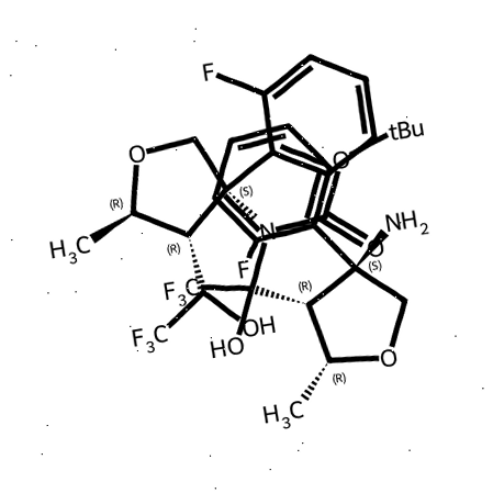 C[C@H]1OC[C@@](N)(c2ccccc2F)[C@H]1C(O)(N(C(=O)OC(C)(C)C)[C@@]1(c2ccccc2F)CO[C@H](C)[C@H]1C(O)C(F)(F)F)C(F)(F)F